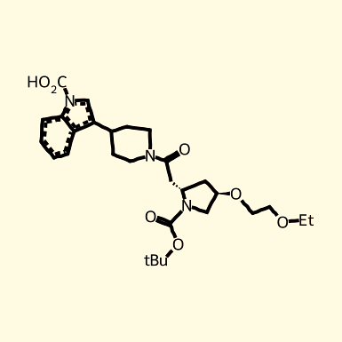 CCOCCO[C@@H]1C[C@@H](CC(=O)N2CCC(c3cn(C(=O)O)c4ccccc34)CC2)N(C(=O)OC(C)(C)C)C1